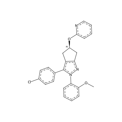 COc1ccccc1-n1nc2c(c1-c1ccc(Cl)cc1)C[C@@H](Oc1ccccn1)C2